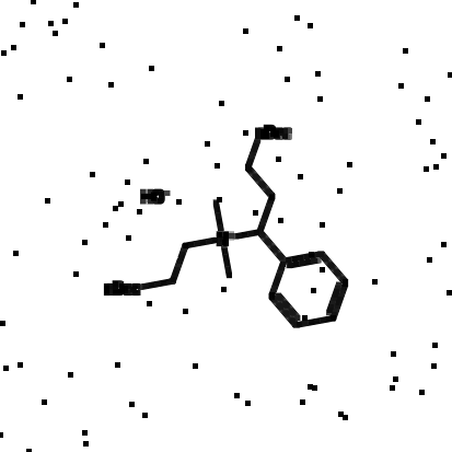 CCCCCCCCCCCCC(c1ccccc1)[N+](C)(C)CCCCCCCCCCCC.[OH-]